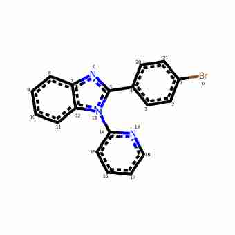 Brc1ccc(-c2nc3ccccc3n2-c2ccccn2)cc1